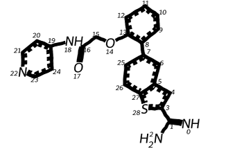 N=C(N)c1cc2cc(-c3ccccc3OCC(=O)Nc3ccncc3)ccc2s1